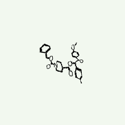 COc1ccc(C(=O)C(OC(=O)C2CCN(C(=O)OCc3ccccc3)CC2)c2ccc(C)cc2)cc1